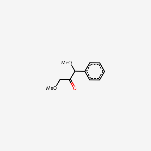 COCC(=O)C(OC)c1ccccc1